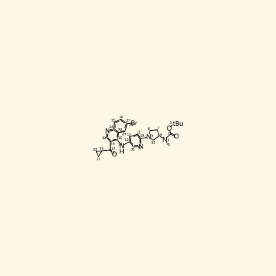 CN(C(=O)OC(C)(C)C)C1CCN(c2ccc(Nc3c(C(=O)C4CC4)cnc4ccc(Br)cc34)cn2)C1